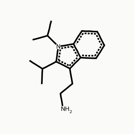 CC(C)c1c(CCN)c2ccccc2n1C(C)C